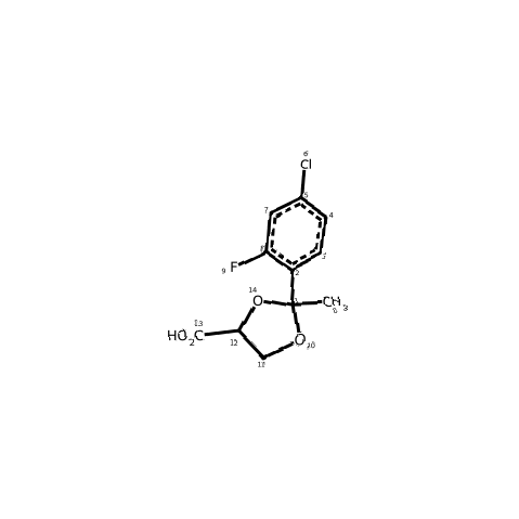 CC1(c2ccc(Cl)cc2F)OCC(C(=O)O)O1